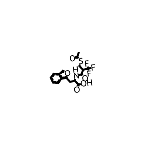 CC(=O)SCC(C(=O)NC(Cc1occ2ccccc12)C(=O)O)C(F)(F)F